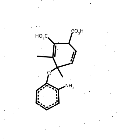 CC1=C(C(=O)O)C(C(=O)O)C=CC1(C)Oc1ccccc1N